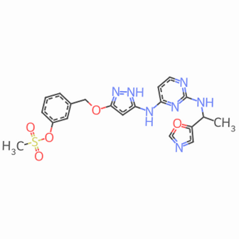 CC(Nc1nccc(Nc2cc(OCc3cccc(OS(C)(=O)=O)c3)n[nH]2)n1)c1cnco1